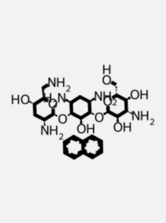 NC[C@H]1O[C@H](O[C@H]2[C@H](O)[C@@H](O[C@H]3O[C@H](CO)[C@@H](O)[C@H](N)[C@H]3O)[C@H](N)C[C@@H]2N)[C@H](N)C[C@@H]1O.c1ccc2ccccc2c1